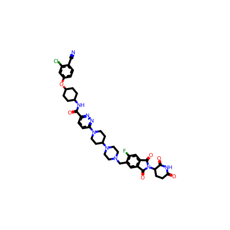 N#Cc1ccc(OC2CCC(NC(=O)c3ccc(N4CCC(N5CCN(Cc6cc7c(cc6F)C(=O)N(C6CCC(=O)NC6=O)C7=O)CC5)CC4)nn3)CC2)cc1Cl